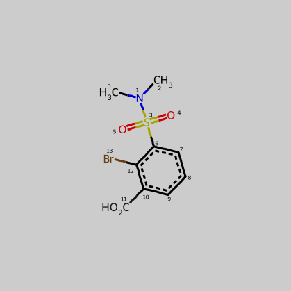 CN(C)S(=O)(=O)c1cccc(C(=O)O)c1Br